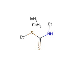 CCNC(=S)SCC.[CaH2].[InH3]